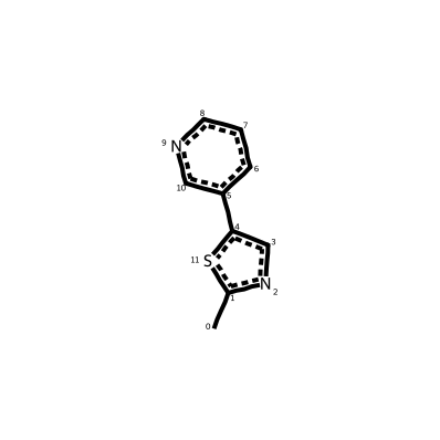 Cc1ncc(-c2cccnc2)s1